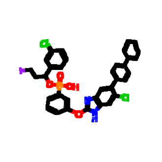 O=P(O)(OC(CCI)c1cccc(Cl)c1)c1cccc(Oc2nc3cc(-c4ccc(-c5ccccc5)cc4)c(Cl)cc3[nH]2)c1